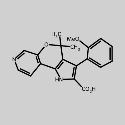 COc1ccccc1-c1c(C(=O)O)[nH]c2c1C(C)(C)Oc1cnccc1-2